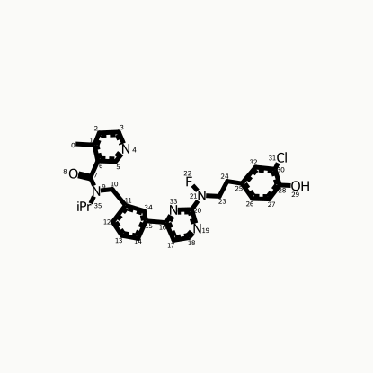 Cc1ccncc1C(=O)N(Cc1cccc(-c2ccnc(N(F)CCc3ccc(O)c(Cl)c3)n2)c1)C(C)C